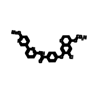 COc1ccc(-c2cccc(NC(=O)c3ccc(Oc4cc5c(cc4Cl)C(OC(=O)O)CCO5)cc3)n2)cn1